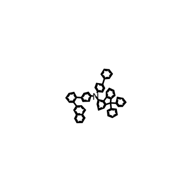 c1ccc(-c2ccc(N(c3ccc(-c4ccccc4-c4ccc5ccccc5c4)cc3)c3cccc4c3-c3ccccc3C4(c3ccccc3)c3ccccc3)cc2)cc1